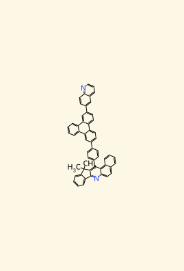 CC1(C)c2ccccc2-c2nc3ccc4ccccc4c3c(-c3ccc(-c4ccc5c6ccc(-c7ccc8ncccc8c7)cc6c6ccccc6c5c4)cc3)c21